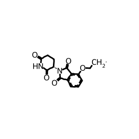 [CH2]COc1cccc2c1C(=O)N([C@H]1CCC(=O)NC1=O)C2=O